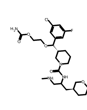 CNCC(C[C@@H]1CCCOC1)NC(=O)N1CCC[C@@H](C(OCCOC(N)=O)c2cc(F)cc(Cl)c2)C1